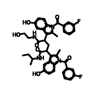 CCC(C)NC(=O)C(CC(C(=O)NCCO)c1c(C)n(C(=O)c2cccc(F)c2)c2ccc(O)cc12)c1c(C)n(C(=O)c2cccc(F)c2)c2ccc(O)cc12